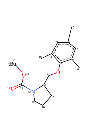 Cc1cc(C)c(OCC2CCCN2C(=O)OC(C)(C)C)c(C)c1